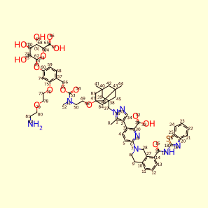 Cc1c(-c2ccc(N3CCc4cccc(C(=O)Nc5nc6ccccc6s5)c4C3)nc2C(=O)O)cnn1CC12CC3(C)CC(C)(C1)CC(OCCN(C)C(=O)OCc1ccc(O[C@@H]4O[C@H](C(=O)O)[C@@H](O)[C@H](O)[C@H]4O)cc1OCCOCCN)(C3)C2